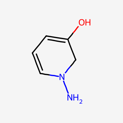 NN1C=CC=C(O)C1